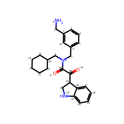 NCc1cccc(CN(CC2CCCCC2)C(=O)C(=O)C2CNc3ccccc32)c1